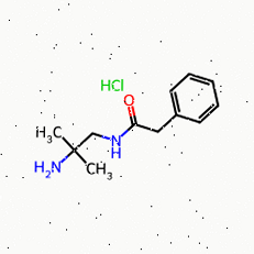 CC(C)(N)CNC(=O)Cc1ccccc1.Cl